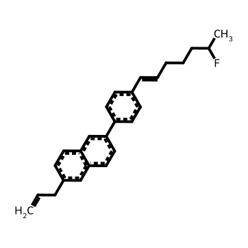 C=CCc1ccc2cc(-c3ccc(C=CCCCC(C)F)cc3)ccc2c1